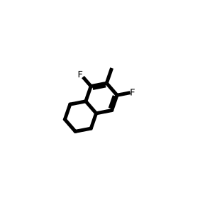 CC1=C(F)C2CCCCC2C=C1F